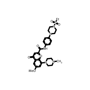 CCS(=O)(=O)N1CCN(c2ccc(NC(=O)c3cc(=O)c4cc(OC)cc(N5CCN(C)CC5)c4o3)cc2)CC1